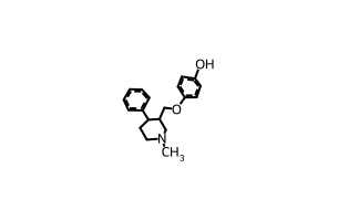 CN1CCC(c2ccccc2)C(COc2ccc(O)cc2)C1